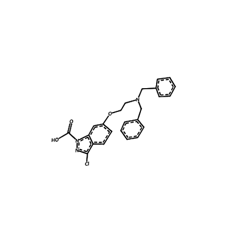 O=C(O)n1nc(Cl)c2ccc(OCCN(Cc3ccccc3)Cc3ccccc3)cc21